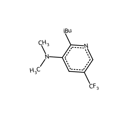 CCC(C)c1ncc(C(F)(F)F)cc1N(C)C